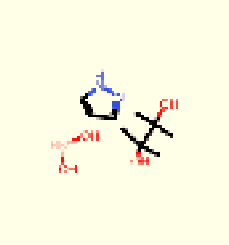 CC(C)(O)C(C)(C)O.OBO.c1cn[nH]c1